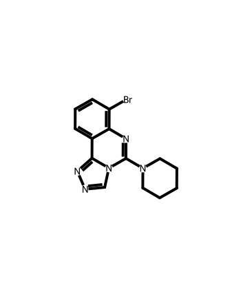 Brc1cccc2c1nc(N1CCCCC1)n1cnnc21